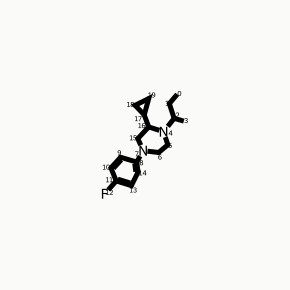 CCC(C)N1CCN(c2ccc(F)cc2)CC1C1CC1